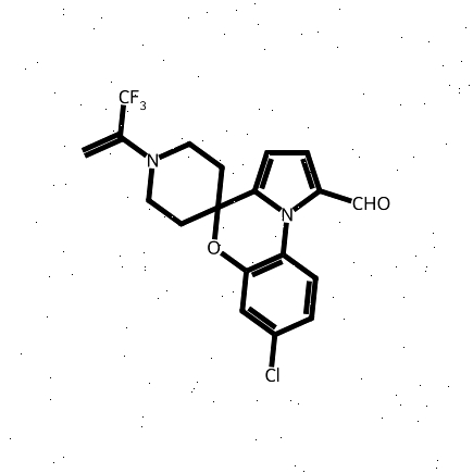 C=C(N1CCC2(CC1)Oc1cc(Cl)ccc1-n1c(C=O)ccc12)C(F)(F)F